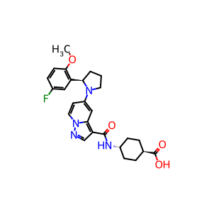 COc1ccc(F)cc1[C@H]1CCCN1c1ccn2ncc(C(=O)N[C@H]3CC[C@H](C(=O)O)CC3)c2c1